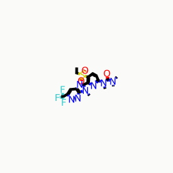 CCS(=O)(=O)c1ccc(N(C)C(=O)N(C)C)nc1-c1nc2cc(C(F)(F)F)nnc2n1C